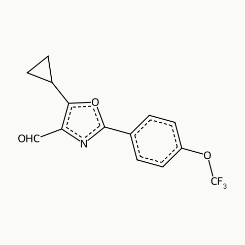 O=Cc1nc(-c2ccc(OC(F)(F)F)cc2)oc1C1CC1